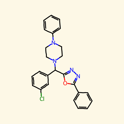 Clc1cccc(C(c2nnc(-c3ccccc3)o2)N2CCN(c3ccccc3)CC2)c1